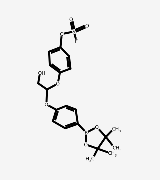 CC1(C)OB(c2ccc(OC(CO)Oc3ccc(OS(=O)(=O)F)cc3)cc2)OC1(C)C